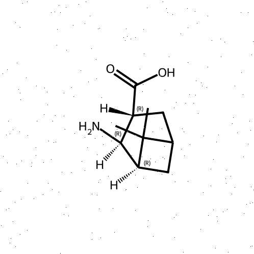 CC1(C)C2C[C@@H](C(=O)O)[C@H](N)[C@@H]1C2